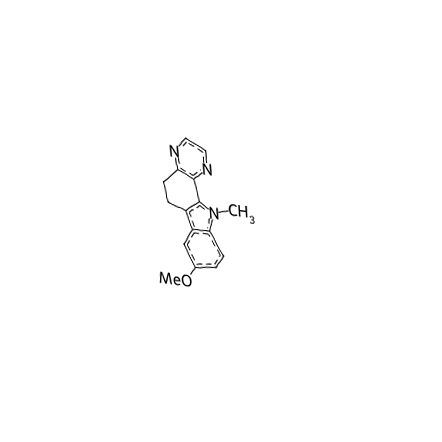 COc1ccc2c(c1)c1c(n2C)-c2nccnc2CC1